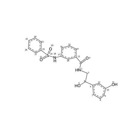 O=C(NCC(O)c1cccc(O)c1)c1cccc(NS(=O)(=O)c2ccccc2)c1